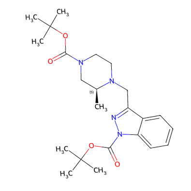 C[C@H]1CN(C(=O)OC(C)(C)C)CCN1Cc1nn(C(=O)OC(C)(C)C)c2ccccc12